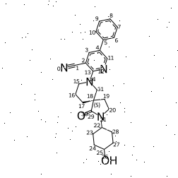 N#Cc1cc(-c2ccccc2)cnc1N1CCC[C@]2(CCN(C3CCC(O)CC3)C2=O)C1